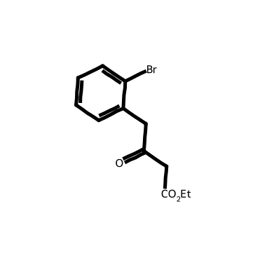 CCOC(=O)CC(=O)Cc1ccccc1Br